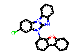 Clc1ccc2c(c1)n(-c1cccc3c1oc1ccccc13)c1nc3ccccc3n21